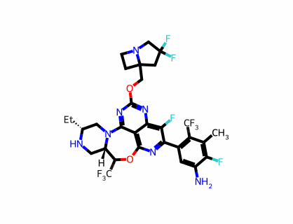 CC[C@@H]1CN2c3nc(OCC45CCN4CC(F)(F)C5)nc4c(F)c(-c5cc(N)c(F)c(C)c5C(F)(F)F)nc(c34)OC(C(F)(F)F)[C@@H]2CN1